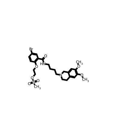 COc1cc2c(cc1OC)CN(CCCCNC(=O)c1cc(Br)ccc1OCCOS(C)(=O)=O)CC2